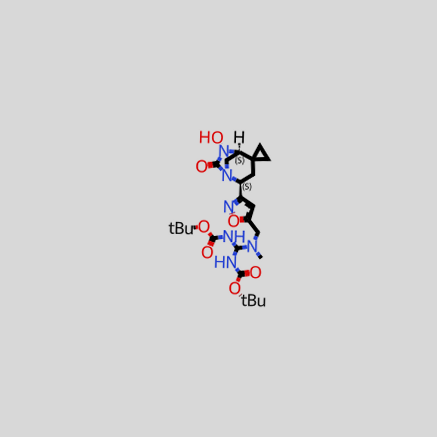 CN(Cc1cc([C@@H]2CC3(CC3)[C@H]3CN2C(=O)N3O)no1)C(NC(=O)OC(C)(C)C)NC(=O)OC(C)(C)C